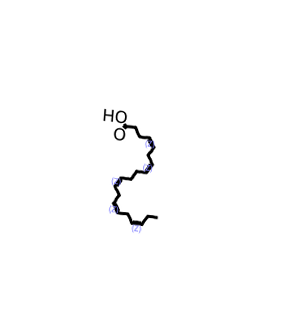 CC/C=C\C/C=C\C/C=C\CC/C=C\C/C=C\CCC(=O)O